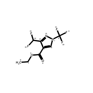 CCOC(=O)c1cn(C(F)(F)F)nc1C(F)F